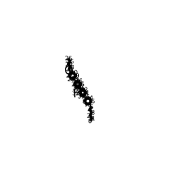 CCCCCC[C@H]1CC[C@H](c2ccc(-c3ccc([C@H]4CC[C@H](OCCCC)CC4)cc3)c(F)c2)CC1